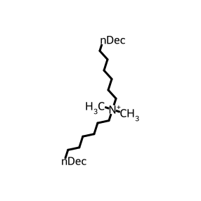 CCCCCCCCCCCCCCCC[N+](C)(C)CCCCCCCCCCCCCCCC